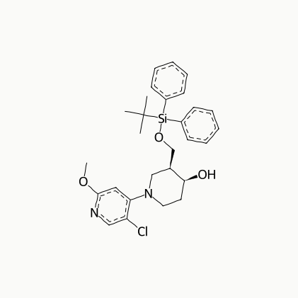 COc1cc(N2CC[C@H](O)[C@H](CO[Si](c3ccccc3)(c3ccccc3)C(C)(C)C)C2)c(Cl)cn1